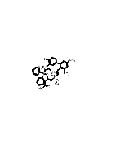 CC[C@@H](C)[Si](OC(CC(=O)O)CP(=O)(/C=C/c1c(C)cc(C)cc1-c1ccc(F)c(C)c1)OC)(c1ccccc1)c1ccccc1